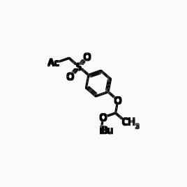 CCC(C)OC(C)Oc1ccc(S(=O)(=O)CC(C)=O)cc1